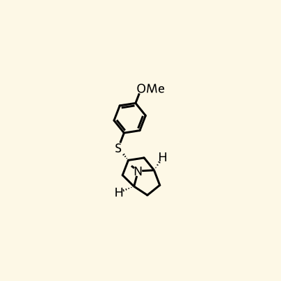 COc1ccc(S[C@@H]2C[C@H]3CC[C@@H](C2)N3C)cc1